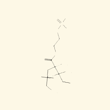 CCC(C)(C)CC(C)(C(=O)OCCOP(=O)(O)O)C(C)(C)CC